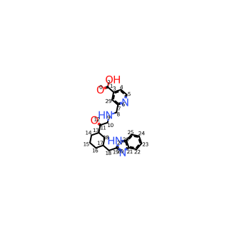 O=C(O)c1ccnc(CNCC(=O)C2CCCC(Cc3nc4ccccc4[nH]3)C2)c1